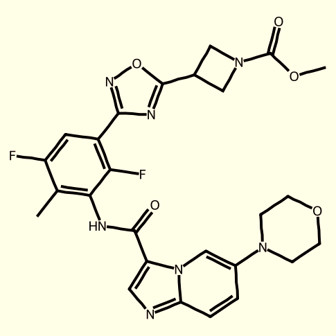 COC(=O)N1CC(c2nc(-c3cc(F)c(C)c(NC(=O)c4cnc5ccc(N6CCOCC6)cn45)c3F)no2)C1